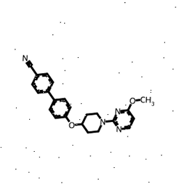 COc1ccnc(N2CCC(Oc3ccc(-c4ccc(C#N)cc4)cc3)CC2)n1